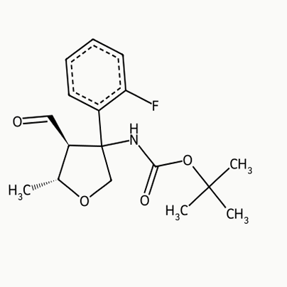 C[C@H]1OCC(NC(=O)OC(C)(C)C)(c2ccccc2F)[C@@H]1C=O